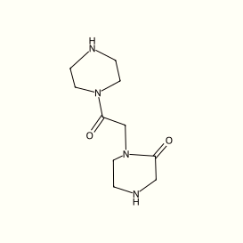 O=C(CN1CCNCC1=O)N1CCNCC1